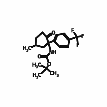 CC1CCC(=O)C(NC(=O)OC(C)(C)C)(c2ccc(C(F)(F)F)cc2)C1